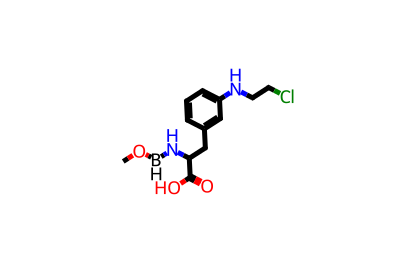 COBNC(Cc1cccc(NCCCl)c1)C(=O)O